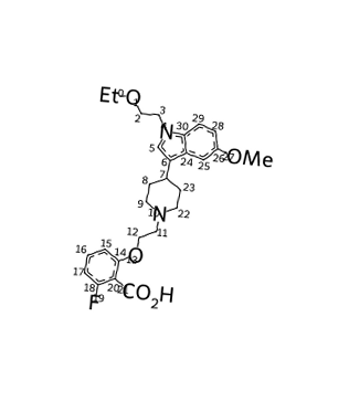 CCOCCn1cc(C2CCN(CCOc3cccc(F)c3C(=O)O)CC2)c2cc(OC)ccc21